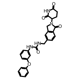 O=C1CCC(N2Cc3cc(CNC(=O)Nc4cccc(Oc5ccccc5)c4)ccc3C2=O)C(=O)N1